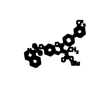 CN(C(=O)OC(C)(C)C)[C@@H](Cc1ccc(OS(=O)(=O)c2nccc3ccccc23)cc1)C(=O)N1CCN(c2cccc(C(F)(F)F)c2)CC1